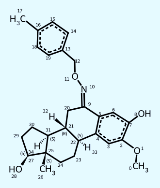 COc1cc2c(cc1O)C(=NOCc1ccc(C)cc1)C[C@@H]1[C@@H]2CC[C@]2(C)[C@@H](O)CC[C@@H]12